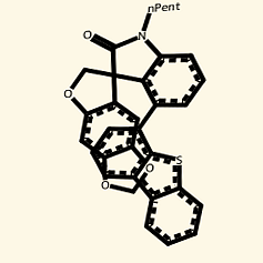 CCCCCN1C(=O)C2(COc3cc4c(cc32)OCO4)c2c(-c3cccc4c3sc3ccccc34)cccc21